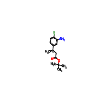 C[C@H](CC(=O)OC(C)(C)C)c1ccc(F)c(N)c1